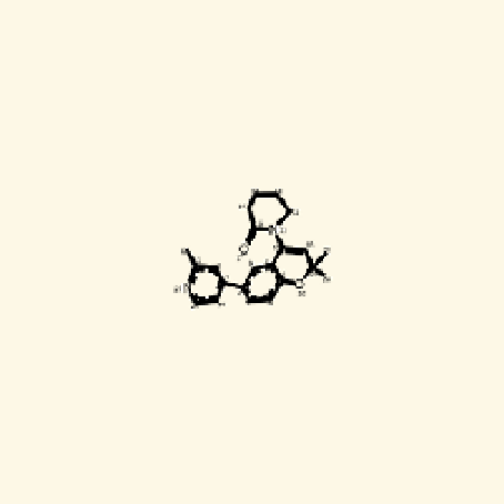 Cc1cc(-c2ccc3c(c2)C(N2CCCCC2=O)=CC(C)(C)O3)ccn1